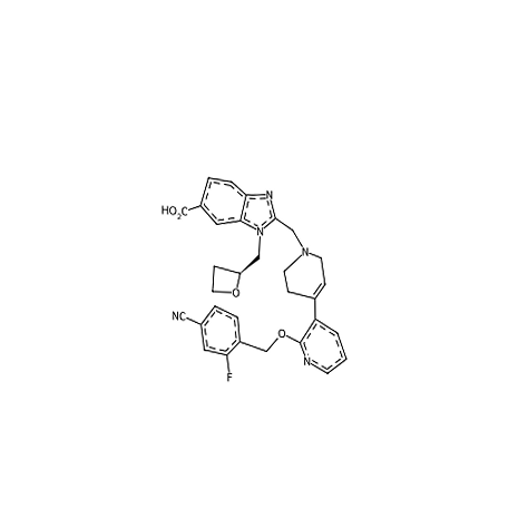 N#Cc1ccc(COc2ncccc2C2=CCN(Cc3nc4ccc(C(=O)O)cc4n3C[C@@H]3CCO3)CC2)c(F)c1